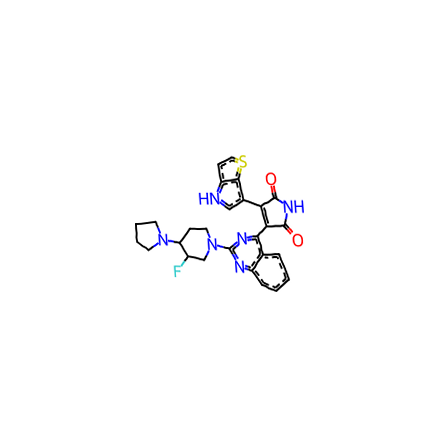 O=C1NC(=O)C(c2c[nH]c3ccsc23)=C1c1nc(N2CCC(N3CCCC3)C(F)C2)nc2ccccc12